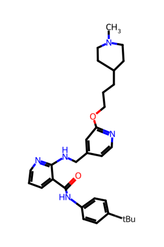 CN1CCC(CCCOc2cc(CNc3ncccc3C(=O)Nc3ccc(C(C)(C)C)cc3)ccn2)CC1